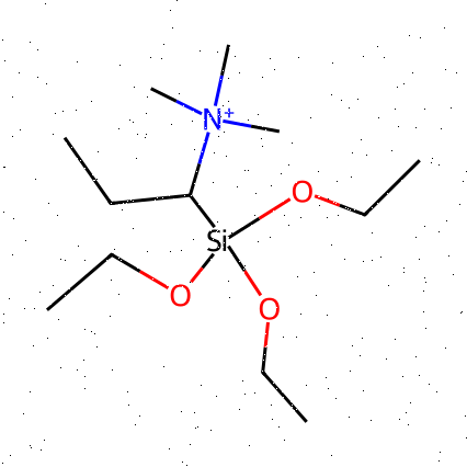 CCO[Si](OCC)(OCC)C(CC)[N+](C)(C)C